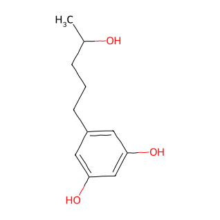 CC(O)CCCc1cc(O)cc(O)c1